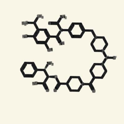 CC(C)c1cc(C(=N)N(C(N)=O)c2ccc(CN3CCN([S+]([O-])N4CCC(C(=O)N5CCC(C(=O)O[C@@H](C(=O)O)[C@@H](N)c6ccccc6)CC5)CC4)CC3)cc2)c(O)cc1O